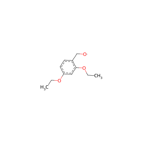 CCOc1ccc(C[O])c(OCC)c1